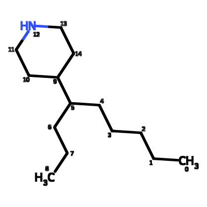 CCCCCC(CCC)C1CCNCC1